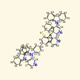 c1ccc2c(c1)Sc1cc(-c3ccc4c(c3)c3ccccc3n4-c3cnccc3-n3c4ccccc4c4ccccc43)ccc1C21c2cccnc2-c2ncc(-n3c4ccccc4c4ccccc43)cc21